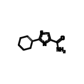 NC(=O)c1csc(C2CCCCC2)n1